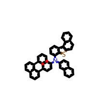 c1ccc(-c2cccc3cccc(-c4ccc(N(c5ccc6ccccc6c5)c5cccc6c5sc5ccc7ccccc7c56)cc4)c23)cc1